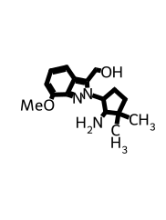 COc1cccc2c(CO)n(C3CCC(C)(C)C3N)nc12